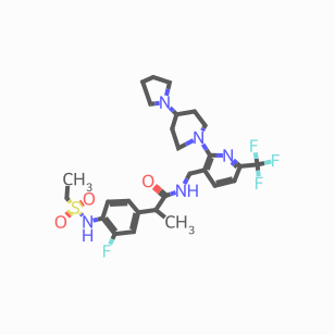 CCS(=O)(=O)Nc1ccc(C(C)C(=O)NCc2ccc(C(F)(F)F)nc2N2CCC(N3CCCC3)CC2)cc1F